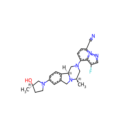 C[C@@H]1CN(c2ccc(C#N)n3ncc(F)c23)C[C@@H]2c3ccc(N4CC[C@@](C)(O)C4)cc3CN12